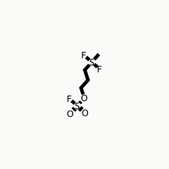 CS(F)(F)CCCOS(=O)(=O)F